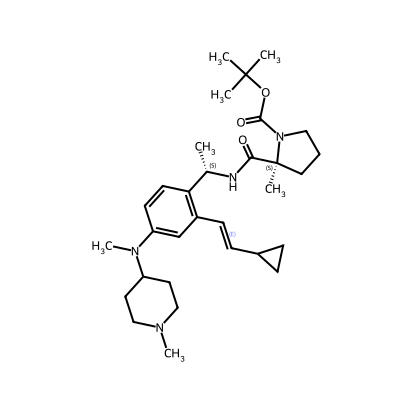 C[C@H](NC(=O)[C@]1(C)CCCN1C(=O)OC(C)(C)C)c1ccc(N(C)C2CCN(C)CC2)cc1/C=C/C1CC1